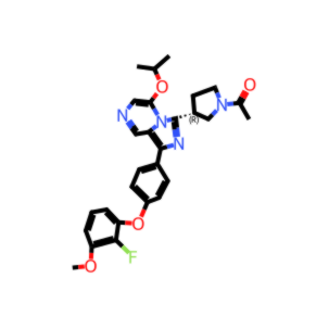 COc1cccc(Oc2ccc(-c3nc([C@@H]4CCN(C(C)=O)C4)n4c(OC(C)C)cncc34)cc2)c1F